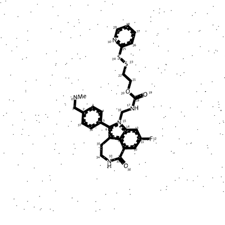 CNCc1ccc(-c2c3c4c(cc(F)cc4n2CNC(=O)OCCSSc2ccccn2)C(=O)NCC3)cc1